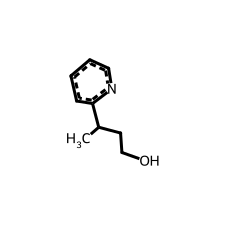 CC(CCO)c1ccccn1